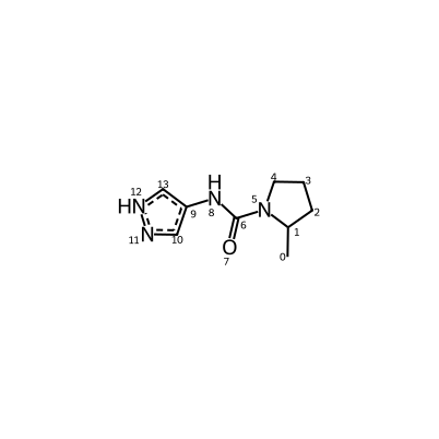 CC1CCCN1C(=O)Nc1cn[nH]c1